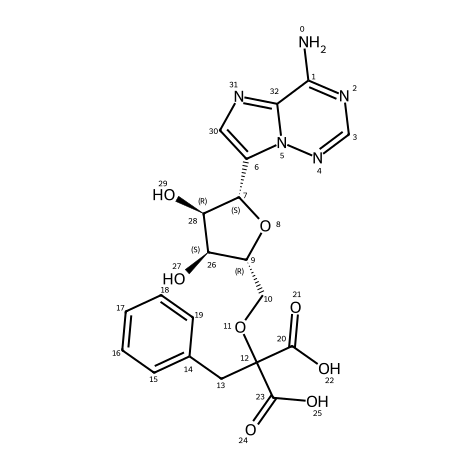 Nc1ncnn2c([C@@H]3O[C@H](COC(Cc4ccccc4)(C(=O)O)C(=O)O)[C@@H](O)[C@H]3O)cnc12